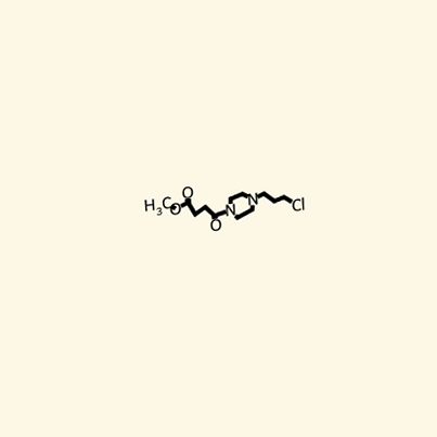 COC(=O)CCC(=O)N1CCN(CCCCl)CC1